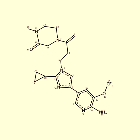 C=C(CCn1cc(-c2cnc(N)c(OC(F)(F)F)c2)nc1C1CC1)N1CCN(C)C(=O)C1